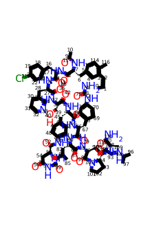 C/C=C\c1cc(C[C@@H](NC(C)=O)C(=O)N[C@H](Cc2ccc(Cl)cc2)C(=O)N[C@H](Cc2cccnc2)C(=O)N[C@@H](CO)C(=O)N[C@@H](Cc2ccc(NC(=O)[C@@H]3CC(=O)NC(=O)N3)cc2)C(=O)N[C@H](Cc2ccc(NC(N)=O)cc2)C(=O)N[C@@H](CC(C)C)C(=O)N[C@@H](CCCCNC(C)C)C(=O)N2CCC[C@H]2C(=O)N[C@H](C)C(N)=O)ccc1C